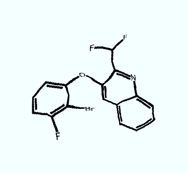 Fc1cccc(Oc2cc3ccccc3nc2C(F)F)c1Br